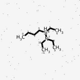 CCCC[SiH](CC)N(CC)CC